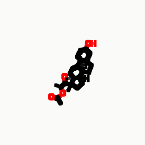 CC(=O)O[C@@H](C)C(=O)[C@@]1(C)CC[C@H]2[C@@H]3CCc4cc(O)ccc4C3=CC[C@@]21C